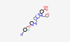 CC1CCC(CN(C)c2cccc(OCc3ccc(C#N)cc3F)n2)N1Cc1nc2ccc(C(=O)O)cc2n1CC1CCOC1